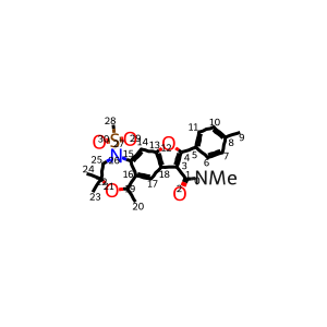 CNC(=O)c1c(-c2ccc(C)cc2)oc2cc3c(cc12)C(C)OC(C)(C)CN3S(C)(=O)=O